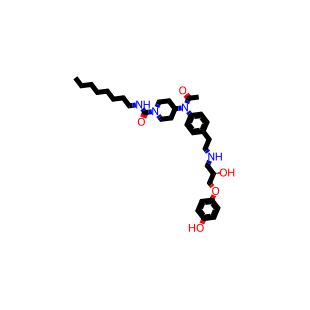 CCCCCCCCNC(=O)N1CCC(N(C(C)=O)c2ccc(CCNC[C@H](O)COc3ccc(O)cc3)cc2)CC1